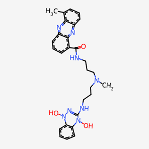 Cc1cccc2nc3c(C(=O)NCCCN(C)CCCNC4=NN(O)c5ccccc5N4O)cccc3nc12